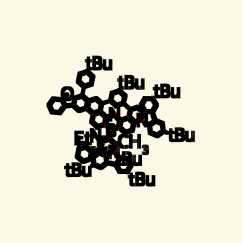 CCN(c1cc(-c2cc(-c3ccc(C(C)(C)C)cc3)c3oc4ccccc4c3c2)cc2c1B([C@@H](C)C(C)n1c3ccc(C(C)(C)C)cc3c3cc(C(C)(C)C)ccc31)c1ccc(-n3c4ccc(C(C)(C)C)cc4c4cc(C(C)(C)C)ccc43)cc1N2c1c(-c2ccccc2)cc(C(C)(C)C)cc1-c1ccccc1)c1c(-c2ccccc2)cc(C(C)(C)C)cc1-c1ccccc1